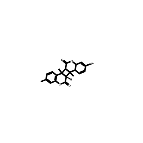 Cc1ccc2c(c1)OC(=O)[C@@H]1C2(C)C2C(=O)OC3C=C(C(C)C)C=CC3C21C